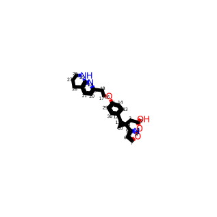 O=C(O)CC1(c2ccon2)CC1c1ccc(OCCc2ccc3c(n2)NCCC3)cc1